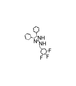 Fc1cc(CNC2=N[C@@H](C3C=CC=CC3)[C@@H](c3ccccc3)N2)cc(F)c1F